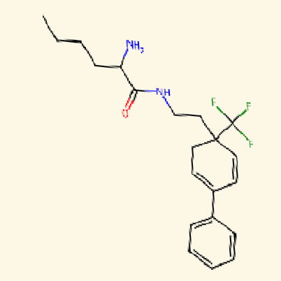 CCCCC(N)C(=O)NCCC1(C(F)(F)F)C=CC(c2ccccc2)=CC1